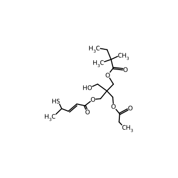 CCC(=O)OCC(CO)(COC(=O)C=CC(C)S)COC(=O)C(C)(C)CC